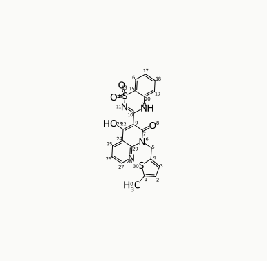 Cc1ccc(Cn2c(=O)c(C3=NS(=O)(=O)c4ccccc4N3)c(O)c3cccnc32)s1